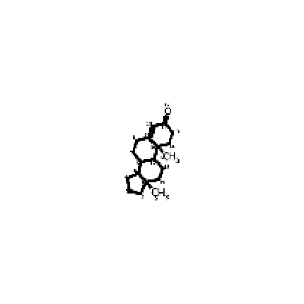 CC12CCCC1C1CCC3=CC(=O)CC[C@]3(C)C1CC2